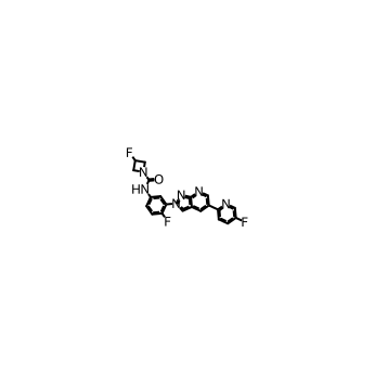 O=C(Nc1ccc(F)c(-n2cc3cc(-c4ccc(F)cn4)cnc3n2)c1)N1CC(F)C1